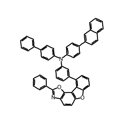 c1ccc(-c2ccc(N(c3ccc(-c4ccc5ccccc5c4)cc3)c3cccc(-c4cccc5oc6ccc7nc(-c8ccccc8)oc7c6c45)c3)cc2)cc1